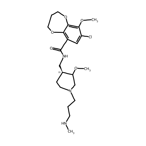 CNCCCN1CC[C@@H](CNC(=O)c2cc(Cl)c(OC)c3c2OCCCO3)C(OC)C1